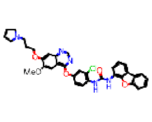 COc1cc2c(Oc3ccc(NC(=O)Nc4cccc5c4oc4ccccc45)c(Cl)c3)ncnc2cc1OCCCN1CCCC1